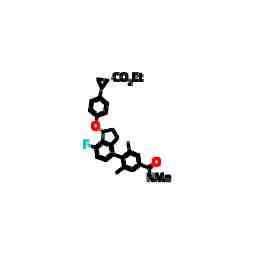 CCOC(=O)[C@H]1C[C@@H]1c1ccc(O[C@@H]2CCc3c(-c4c(C)cc(C(=O)NC)cc4C)ccc(F)c32)cc1